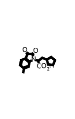 Cc1ccc2c(c1)N(C(CC1CCCC1)C(=O)O)C(=O)C2=O